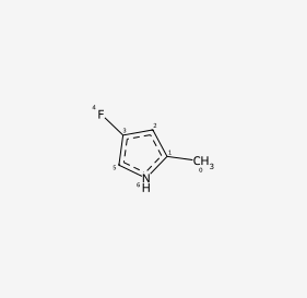 Cc1cc(F)c[nH]1